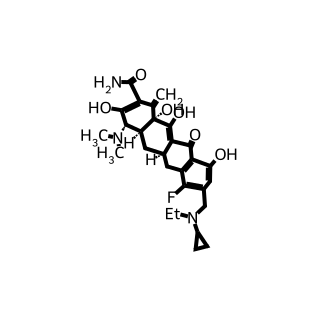 C=C1C(C(N)=O)=C(O)[C@@H](N(C)C)[C@@H]2C[C@@H]3Cc4c(F)c(CN(CC)C5CC5)cc(O)c4C(=O)C3=C(O)[C@]12O